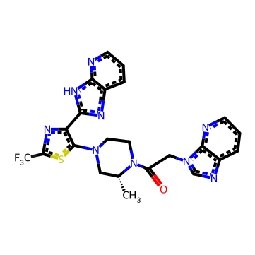 C[C@@H]1CN(c2sc(C(F)(F)F)nc2-c2nc3cccnc3[nH]2)CCN1C(=O)Cn1cnc2cccnc21